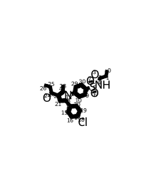 CCC(=O)NS(=O)(=O)c1ccc(-n2c(-c3ccc(Cl)cc3)cc(C(=O)CC)c2C)cc1